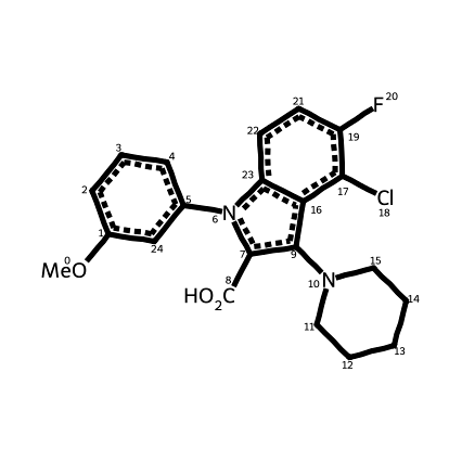 COc1cccc(-n2c(C(=O)O)c(N3CCCCC3)c3c(Cl)c(F)ccc32)c1